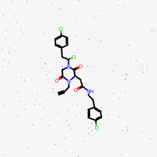 C#CCN1C(=O)CN(C(Cl)Cc2ccc(Cl)cc2)C(=O)C1CC(=O)NCCc1ccc(Cl)cc1